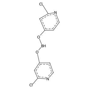 Clc1cc(OBOc2ccnc(Cl)c2)ccn1